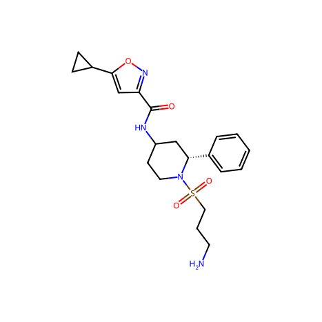 NCCCS(=O)(=O)N1CCC(NC(=O)c2cc(C3CC3)on2)C[C@@H]1c1ccccc1